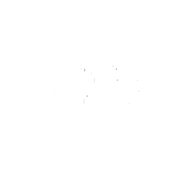 CCN(C)[Si](C)(C)C(C)(C)C.CCO[SiH](OCC)OCC